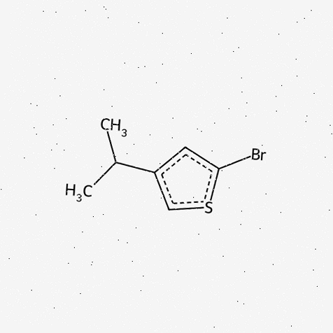 CC(C)c1csc(Br)c1